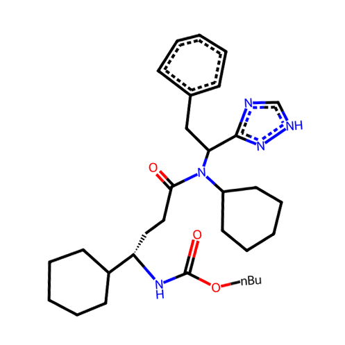 CCCCOC(=O)N[C@@H](CCC(=O)N(C1CCCCC1)C(Cc1ccccc1)c1nc[nH]n1)C1CCCCC1